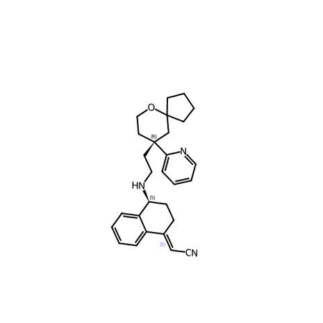 N#C/C=C1\CC[C@H](NCC[C@@]2(c3ccccn3)CCOC3(CCCC3)C2)c2ccccc21